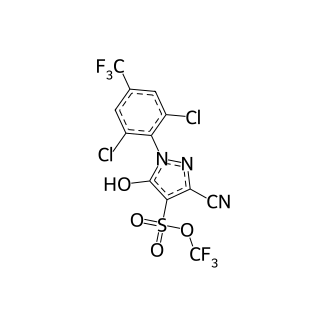 N#Cc1nn(-c2c(Cl)cc(C(F)(F)F)cc2Cl)c(O)c1S(=O)(=O)OC(F)(F)F